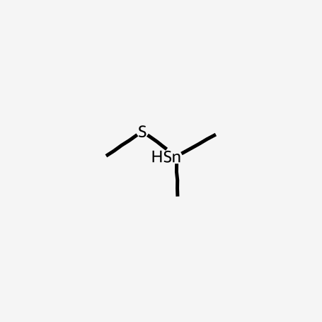 C[S][SnH]([CH3])[CH3]